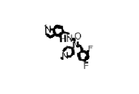 CN1CCC(N(Cc2ccc(F)cc2F)C(=O)NCc2ccc3c(c2)CCN3C)CC1